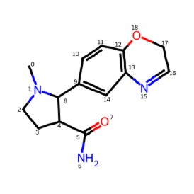 CN1CCC(C(N)=O)C1c1ccc2c(c1)N=CCO2